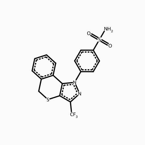 NS(=O)(=O)c1ccc(-n2nc(C(F)(F)F)c3c2-c2ccccc2CS3)cc1